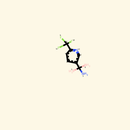 BC(B)(N)c1ccc(C(F)(F)F)nc1